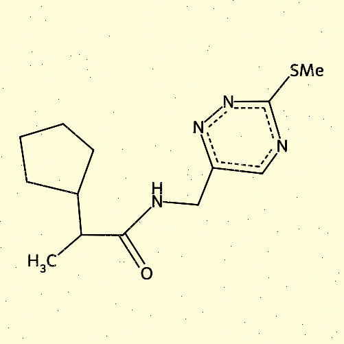 CSc1ncc(CNC(=O)C(C)C2CCCC2)nn1